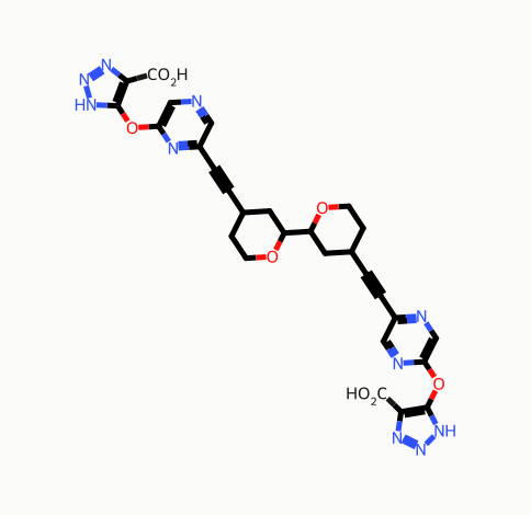 O=C(O)c1nn[nH]c1Oc1cnc(C#CC2CCOC(C3CC(C#Cc4cncc(Oc5[nH]nnc5C(=O)O)n4)CCO3)C2)cn1